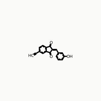 C#Cc1ccc2c(c1)C(=O)/C(=C\c1cccc(O)c1)C2=O